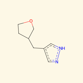 c1n[nH]cc1CC1CCOC1